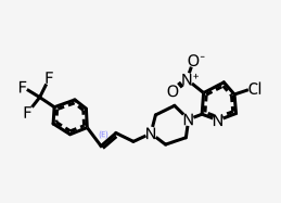 O=[N+]([O-])c1cc(Cl)cnc1N1CCN(C/C=C/c2ccc(C(F)(F)F)cc2)CC1